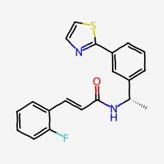 C[C@H](NC(=O)/C=C/c1ccccc1F)c1cccc(-c2nccs2)c1